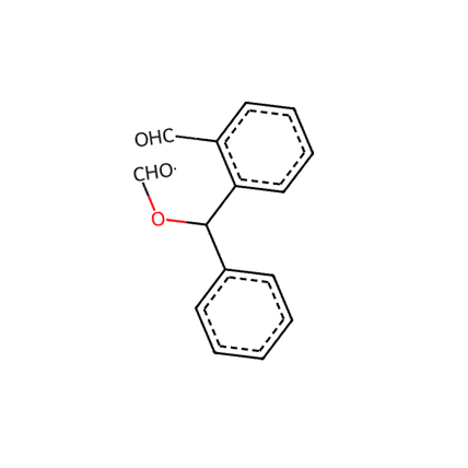 O=[C]OC(c1ccccc1)c1ccccc1C=O